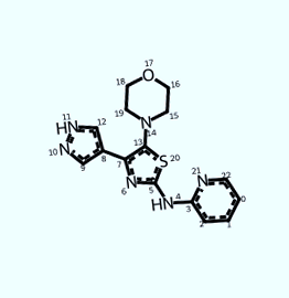 c1ccc(Nc2nc(-c3cn[nH]c3)c(N3CCOCC3)s2)nc1